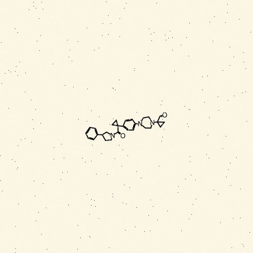 O=CC1(N2CCN(c3ccc(C4(C(=O)N5CCC(c6ccccc6)C5)CC4)cc3)CC2)CC1